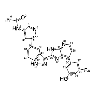 CC(C)C(=O)Nc1cncc(-c2ccc3[nH]nc(-c4nc5c(-c6cc(O)cc(F)c6)ccnc5[nH]4)c3c2)c1